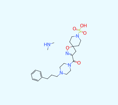 CNC.O=C(C1=NOC2(CCN(S(=O)(=O)O)CC2)C1)N1CCN(CCCc2ccccc2)CC1